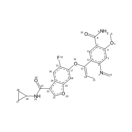 C=Nc1cc(OC)c(C(N)=O)cc1/C(=C\C)Oc1cc2occ(C(=O)NC3CC3)c2cc1F